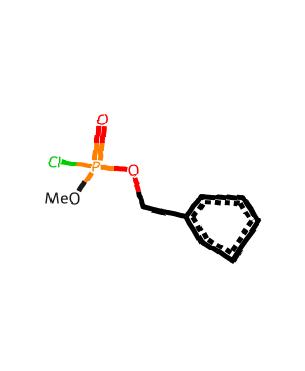 COP(=O)(Cl)OCc1ccccc1